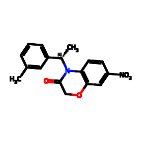 Cc1cccc([C@H](C)N2C(=O)COc3cc([N+](=O)[O-])ccc32)c1